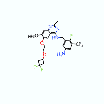 COc1cc2nc(C)nc(NCc3cc(N)cc(C(F)(F)F)c3F)c2cc1OCCOC1CC(F)(F)C1